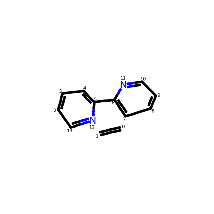 C=C.c1ccc(-c2ccccn2)nc1